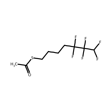 CC(=O)SCCCCC(F)(F)C(F)(F)C(F)F